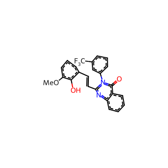 COc1cccc(C=Cc2nc3ccccc3c(=O)n2-c2cccc(C(F)(F)F)c2)c1O